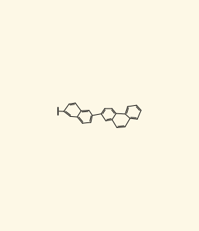 Ic1ccc2cc(-c3ccc4c(ccc5ccccc54)c3)ccc2c1